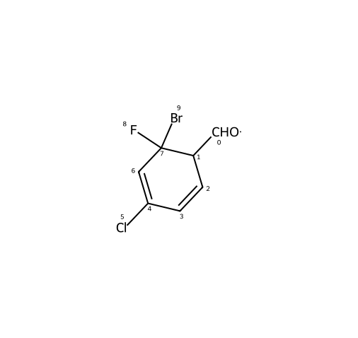 O=[C]C1C=CC(Cl)=CC1(F)Br